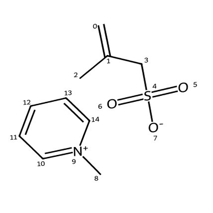 C=C(C)CS(=O)(=O)[O-].C[n+]1ccccc1